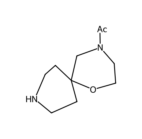 CC(=O)N1CCOC2(CCNCC2)C1